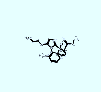 CCCSc1cnc2n1C1=C(C)C=CCC13C=CC=C(C(=O)OC)[N+]23C